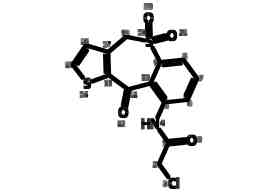 O=C(CCl)Nc1cccc2c1C(=O)c1sccc1CS2(=O)=O